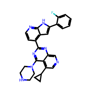 Fc1ccccc1-c1cc2c(-c3nc(N4CCNCC4)c4c(C5CC5)cncc4n3)ccnc2[nH]1